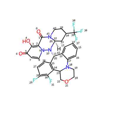 O=C1c2c(O)c(=O)ccn2N([C@@H]2c3ccccc3N3CCOCC3c3c2ccc(F)c3F)[C@@H]2CC(C(F)(F)F)CCN12